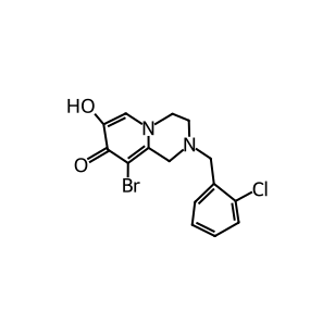 O=c1c(O)cn2c(c1Br)CN(Cc1ccccc1Cl)CC2